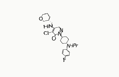 CC(C)N(c1ccc(F)cc1)[C@H]1CC[C@H](n2ncc(NC[C@H]3CCCOC3)c(Cl)c2=O)CC1